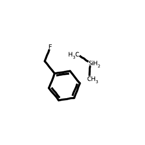 C[SiH2]C.FCc1ccccc1